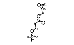 C[SiH](C)OCCC(=O)OCC1CO1